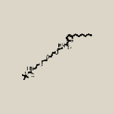 CCCCCCc1ccc(C(=O)NCCOCCOCCOCCNC(=O)OC(C)(C)C)s1